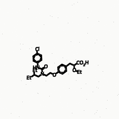 CCOC(Cc1ccc(OCCN(CC(CC)CC)C(=O)Nc2ccc(Cl)cc2)cc1)C(=O)O